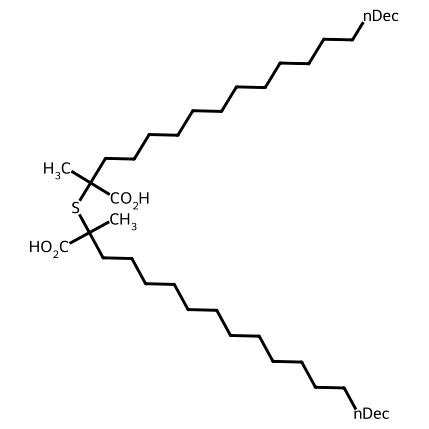 CCCCCCCCCCCCCCCCCCCCCCC(C)(SC(C)(CCCCCCCCCCCCCCCCCCCCCC)C(=O)O)C(=O)O